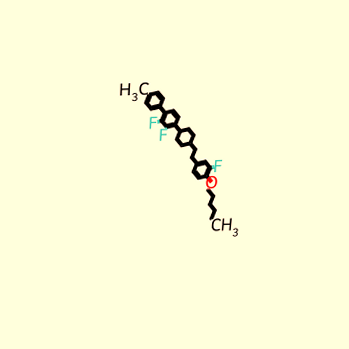 CCCCCCOc1ccc(CCC2CCC(c3ccc(-c4ccc(C)cc4)c(F)c3F)CC2)cc1F